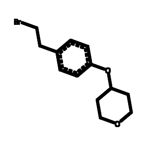 BrCCc1ccc(OC2CCOCC2)cc1